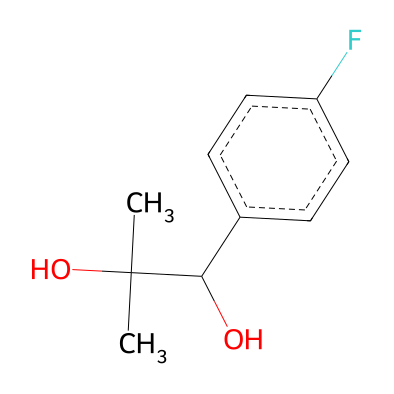 CC(C)(O)C(O)c1ccc(F)cc1